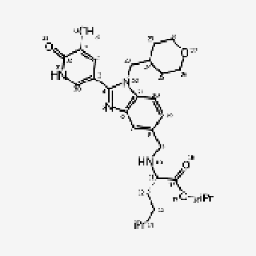 Cc1cc(-c2nc3cc(CN[C@@H](CCC(C)C)C(=O)OC(C)C)ccc3n2CC2CCOCC2)c[nH]c1=O